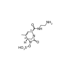 CC1=C[C@@H](C(=O)NCCN)N2C[C@@H]1N(OS(=O)(=O)O)C2=O